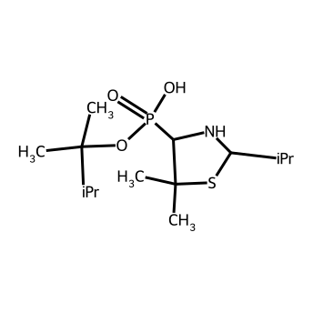 CC(C)C1NC(P(=O)(O)OC(C)(C)C(C)C)C(C)(C)S1